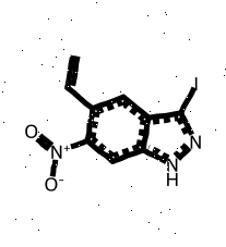 C=Cc1cc2c(I)n[nH]c2cc1[N+](=O)[O-]